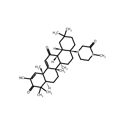 CN1CCN([C@]23CCC(C)(C)C[C@H]2[C@H]2C(=O)C=C4[C@@]5(C)C=C(C#N)C(=O)C(C)(C)[C@@H]5CC[C@@]4(C)[C@]2(C)CC3)CC1=O